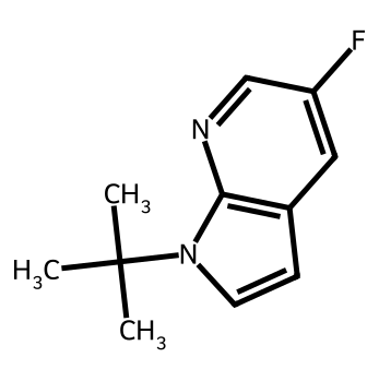 CC(C)(C)n1ccc2cc(F)cnc21